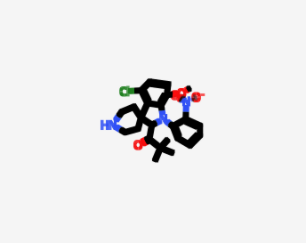 COc1ccc(Cl)c2c1N(c1ccccc1[N+](=O)[O-])C(C(=O)C(C)(C)C)C21CCNCC1